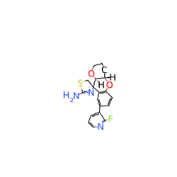 NC1=NC2(CS1)c1cc(-c3cccnc3F)ccc1O[C@H]1CCCO[C@@H]12